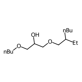 CCCCOCC(O)COCC(CC)CCCC